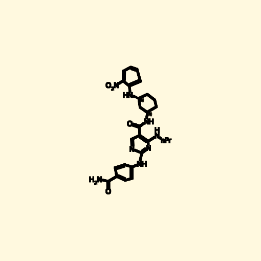 CCCNc1nc(Nc2ccc(C(N)=O)cc2)ncc1C(=O)N[C@@H]1CCC[C@H](Nc2ccccc2[N+](=O)[O-])C1